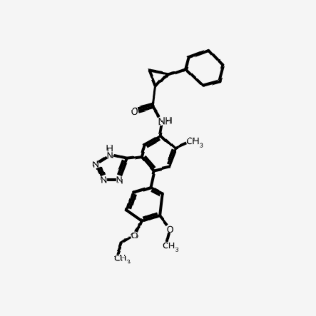 CCOc1ccc(-c2cc(C)c(NC(=O)C3CC3C3CCCCC3)cc2-c2nnn[nH]2)cc1OC